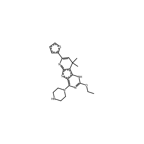 CCOC1=NC(N2CCNCC2)=c2sc3c(c2N1)C(C)(C)C=C(c1cccs1)N=3